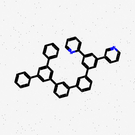 c1ccc(-c2cc(-c3ccccc3)cc(-c3cccc(-c4cccc(-c5cc(-c6cccnc6)cc(-c6ccccn6)c5)c4)c3)c2)cc1